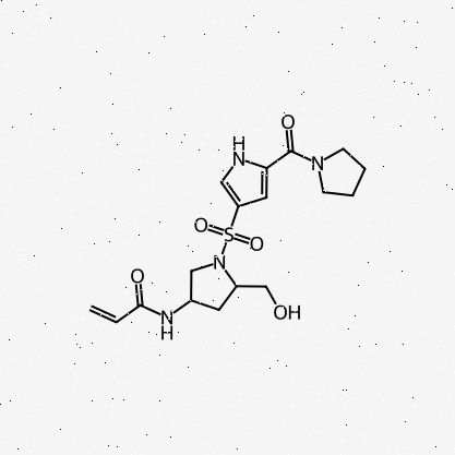 C=CC(=O)NC1CC(CO)N(S(=O)(=O)c2c[nH]c(C(=O)N3CCCC3)c2)C1